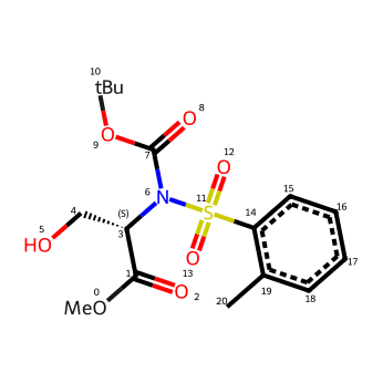 COC(=O)[C@H](CO)N(C(=O)OC(C)(C)C)S(=O)(=O)c1ccccc1C